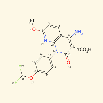 CCOc1ccc2c(N)c(C(=O)O)c(=O)n(-c3ccc(OC(F)F)cc3)c2n1